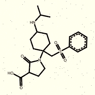 CC(C)NC1CCC(CS(=O)(=O)c2ccccc2)(N2CCC(C(=O)O)C2=O)CC1